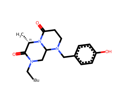 CCC(C)CN1CC2N(Cc3ccc(O)cc3)CCC(=O)N2[C@@H](C)C1=O